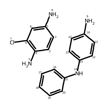 Nc1ccc(N)c(Cl)c1.Nc1ccc(Nc2ccccc2)cc1